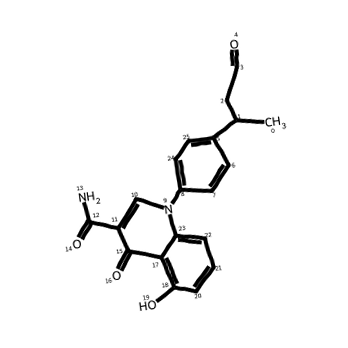 CC(CC=O)c1ccc(-n2cc(C(N)=O)c(=O)c3c(O)cccc32)cc1